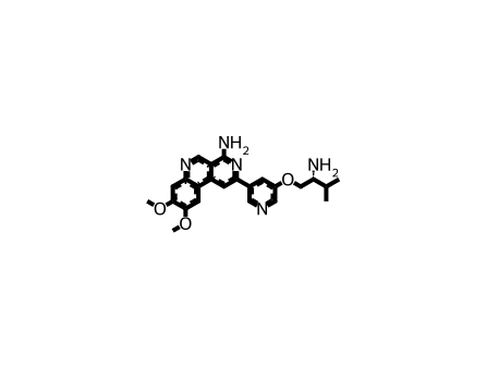 COc1cc2ncc3c(N)nc(-c4cncc(OC[C@H](N)C(C)C)c4)cc3c2cc1OC